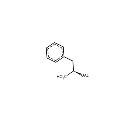 CC(=O)O[C@H](Cc1ccccc1)C(=O)O